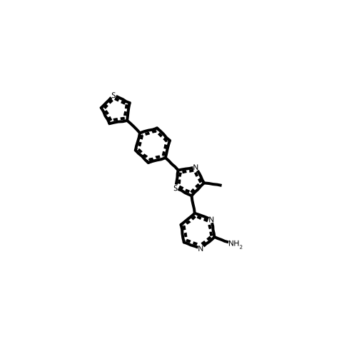 Cc1nc(-c2ccc(-c3ccsc3)cc2)sc1-c1ccnc(N)n1